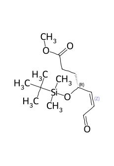 COC(=O)CC[C@H](/C=C\C=O)O[Si](C)(C)C(C)(C)C